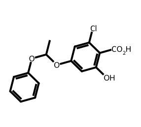 CC(Oc1ccccc1)Oc1cc(O)c(C(=O)O)c(Cl)c1